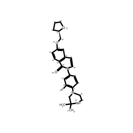 CC1(C)CN(c2ccc(-n3ccc4cc(OC[C@H]5CCCO5)ccc4c3=O)cc2F)CCN1